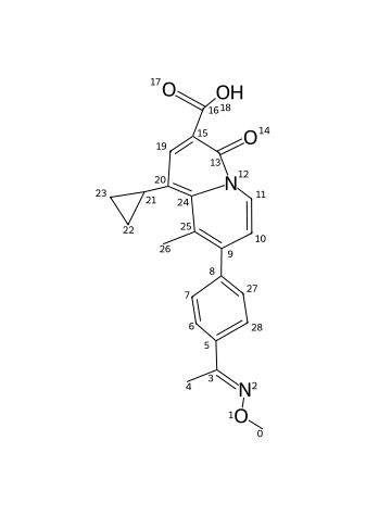 CO/N=C(\C)c1ccc(-c2ccn3c(=O)c(C(=O)O)cc(C4CC4)c3c2C)cc1